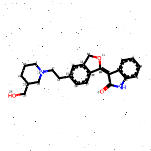 O=C1Nc2ccccc2/C1=C1\OCc2cc(CCN3CCCC(CO)C3)ccc21